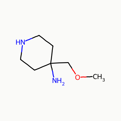 COCC1(N)CCNCC1